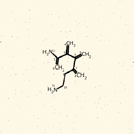 C=C(N)C(=C)C(=C)C(=C)CCN